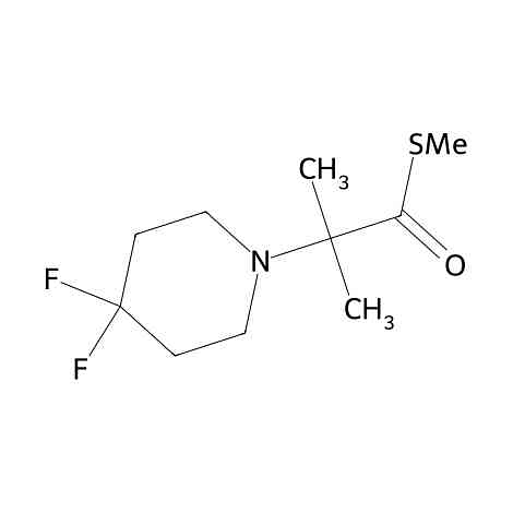 CSC(=O)C(C)(C)N1CCC(F)(F)CC1